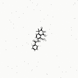 CC1(C)C(=O)NC(=O)c2c1ccc(NC(=O)c1ccccc1)c2[N+](=O)[O-]